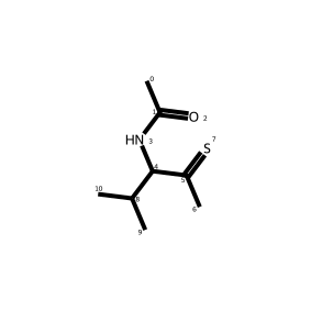 CC(=O)NC(C(C)=S)C(C)C